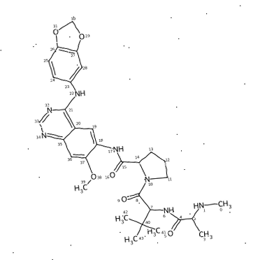 CNC(C)C(=O)NC(C(=O)N1CCCC1C(=O)Nc1cc2c(Nc3ccc4c(c3)OCO4)ncnc2cc1OC)C(C)(C)C